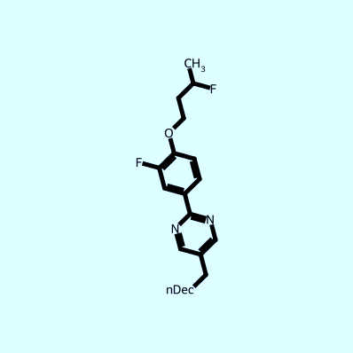 CCCCCCCCCCCc1cnc(-c2ccc(OCCC(C)F)c(F)c2)nc1